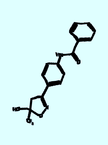 O=C(Nc1ccc(C2=NOC(O)(C(F)(F)F)C2)cc1)c1ccccc1